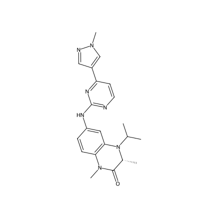 CC(C)N1c2cc(Nc3nccc(-c4cnn(C)c4)n3)ccc2N(C)C(=O)[C@H]1C